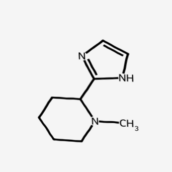 CN1CCCCC1c1ncc[nH]1